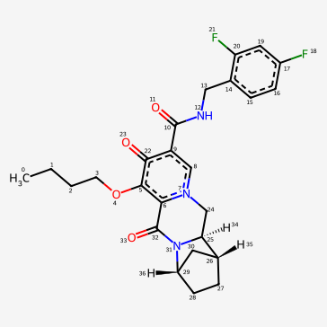 CCCCOc1c2n(cc(C(=O)NCc3ccc(F)cc3F)c1=O)C[C@H]1[C@@H]3CC[C@@H](C3)N1C2=O